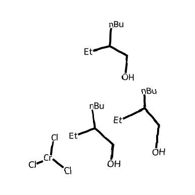 CCCCC(CC)CO.CCCCC(CC)CO.CCCCC(CC)CO.[Cl][Cr]([Cl])[Cl]